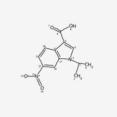 CC(C)n1cc(C(=O)O)c2ccc([N+](=O)[O-])cc21